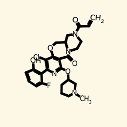 C=CC(=O)N1CCN2C(=O)c3c(OC4CCCN(C)C4)nc(-c4c(O)cccc4F)c(Cl)c3OCC2C1